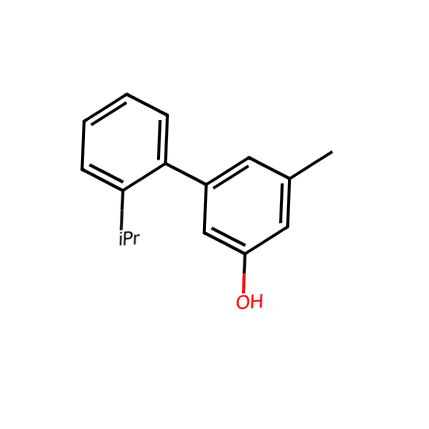 Cc1cc(O)cc(-c2ccccc2C(C)C)c1